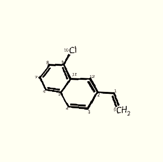 C=Cc1ccc2cccc(Cl)c2c1